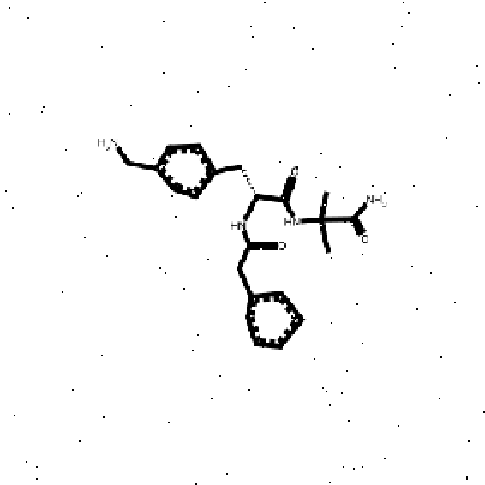 CC(C)(NC(=O)[C@@H](Cc1ccc(CN)cc1)NC(=O)Cc1ccccc1)C(N)=O